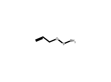 BSOCC=C